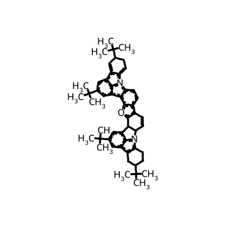 CC(C)(C)c1cc2c3c(c1)c1c(n3C3C=Cc4c(oc5c4ccc4c5c5cc(C(C)(C)C)cc6c7c(n4c65)=CCC(C(C)(C)C)C=7)C23)CCC(C(C)(C)C)C1